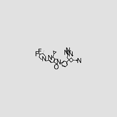 C[C@@H]1CN(Cc2cc3c(c(C4CC4)n2)CN(c2cccc(C4(Cc5nncn5C)CC(C#N)C4)c2)C3=O)CCC1(F)F